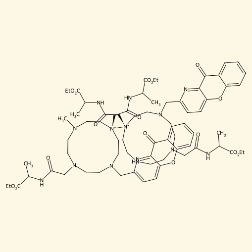 CCOC(=O)C(C)NC(=O)CN1CCNCC[N@+](CC(=O)NC(C)C(=O)OCC)([N@@+]2(CC(=O)NC(C)C(=O)OCC)CCN(C)CCN(CC(=O)NC(C)C(=O)OCC)CCN(Cc3ccc4oc5ccccc5c(=O)c4n3)CC2)CCN(Cc2ccc3oc4ccccc4c(=O)c3n2)CC1